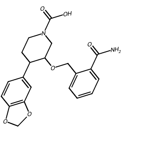 NC(=O)c1ccccc1COC1CN(C(=O)O)CCC1c1ccc2c(c1)OCO2